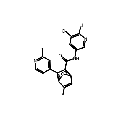 Cc1cc(-c2c(C(=O)Nc3cnc(Cl)c(Cl)c3)c3cc(F)c2o3)ccn1